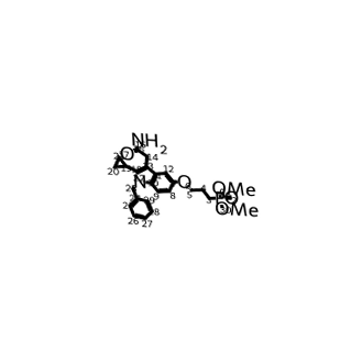 COP(=O)(CCCOc1ccc2c(c1)c(CC(N)=O)c(C1CC1)n2Cc1ccccc1)OC